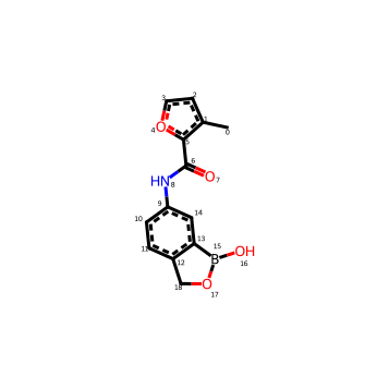 Cc1ccoc1C(=O)Nc1ccc2c(c1)B(O)OC2